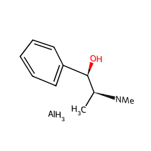 CN[C@@H](C)[C@H](O)c1ccccc1.[AlH3]